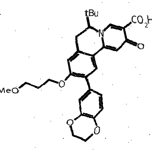 COCCCOc1cc2c(cc1-c1ccc3c(c1)OCCO3)-c1cc(=O)c(C(=O)O)cn1C(C(C)(C)C)C2